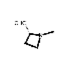 CN1CC[C@@H]1C=O